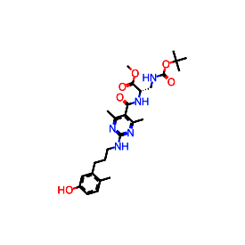 COC(=O)[C@H](CNC(=O)OC(C)(C)C)NC(=O)c1c(C)nc(NCCCc2cc(O)ccc2C)nc1C